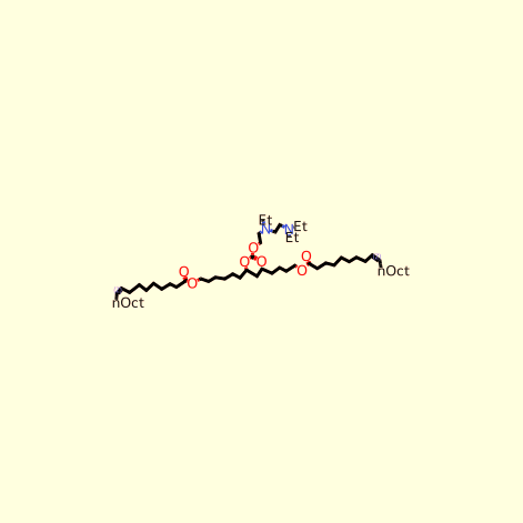 CCCCCCCC/C=C\CCCCCCCC(=O)OCCCCCCC(CCCCCCOC(=O)CCCCCCC/C=C\CCCCCCCC)OC(=O)OCCN(CC)CCN(CC)CC